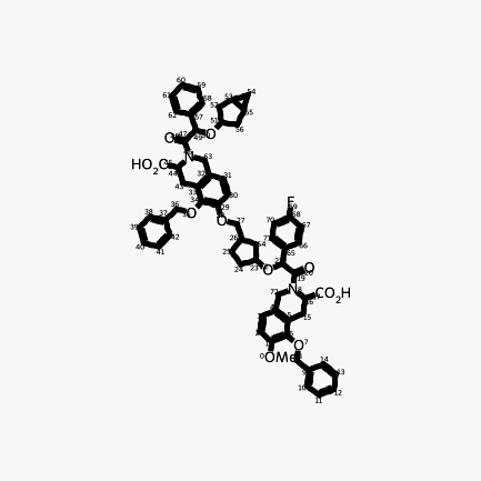 COc1ccc2c(c1OCc1ccccc1)CC(C(=O)O)N(C(=O)C(OC1CCC(COc3ccc4c(c3OCc3ccccc3)CC(C(=O)O)N(C(=O)C(OC3CC5CC5C3)c3ccccc3)C4)C1)c1ccc(F)cc1)C2